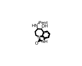 CCC[C@@H](C)N[C@@H]1CCn2c(=O)[nH]c3cccc(c32)[C@H]1O